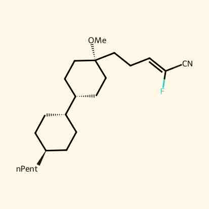 CCCCC[C@H]1CC[C@H]([C@H]2CC[C@@](CCC=C(F)C#N)(OC)CC2)CC1